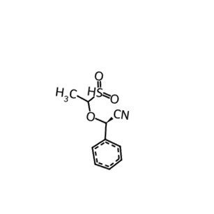 CC(O[C@@H](C#N)c1ccccc1)[SH](=O)=O